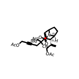 C=C(COC(C)=O)[C@@H]1C(C(C#N)(C#N)CC#CCOC(C)=O)=CC2CC[C@@H]1N2C(=O)OC(C)(C)C